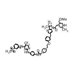 COC[C@H]1CN[C@H](C)CN1CC(=O)N1CC(C)(C)c2ncc(Cc3cccc(OCCN4CCN(CC(=O)Nc5ccc(Nc6ncc(C(F)(F)F)c(NCc7cccc(S(C)(=O)=O)c7)n6)cc5)CC4)c3)cc21